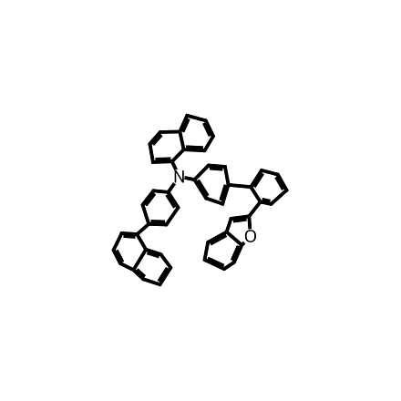 c1ccc(-c2cc3ccccc3o2)c(-c2ccc(N(c3ccc(-c4cccc5ccccc45)cc3)c3cccc4ccccc34)cc2)c1